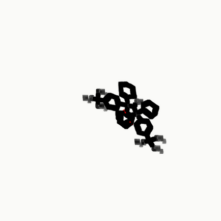 CC(S(c1ccccc1)(c1ccccc1)c1ccc(C(C)(C)C)cc1)S(c1ccccc1)(c1ccccc1)c1ccc(C(C)(C)C)cc1